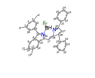 Cc1cc(C)cc(-c2c3cc(C)c(C)cc3c(/C=C3\N=C(c4ccccc4)C=C3c3ccccc3)n2BF)c1